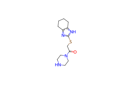 O=C(CSc1nc2c([nH]1)CCCC2)N1CCNCC1